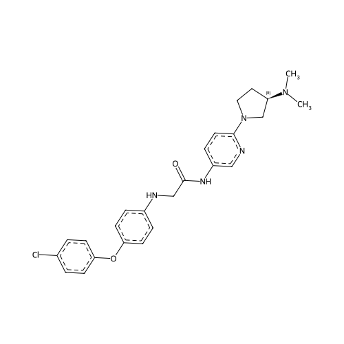 CN(C)[C@@H]1CCN(c2ccc(NC(=O)CNc3ccc(Oc4ccc(Cl)cc4)cc3)cn2)C1